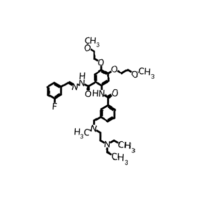 CCN(CC)CCN(C)Cc1cccc(C(=O)Nc2cc(OCCOC)c(OCCOC)cc2C(=O)N/N=C/c2cccc(F)c2)c1